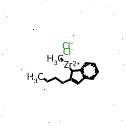 CCCCC1=Cc2ccccc2[CH]1[Zr+2][CH3].[Cl-].[Cl-]